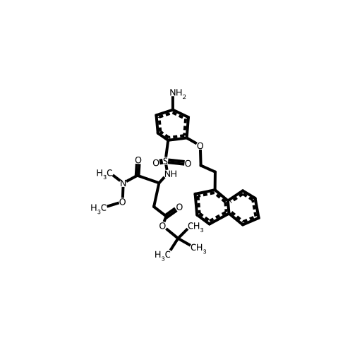 CON(C)C(=O)C(CC(=O)OC(C)(C)C)NS(=O)(=O)c1ccc(N)cc1OCCc1cccc2ccccc12